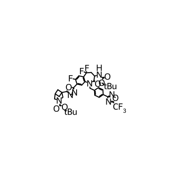 CC(C)(C)OC(=O)NC1CC(F)(F)c2cc(F)c(-c3nnc(C45CC(CN(C(=O)OC(C)(C)C)C4)C5)o3)cc2N(Cc2ccc(-c3noc(C(F)(F)F)n3)cc2)C1=O